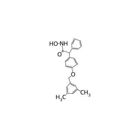 Cc1cc(C)cc(COc2ccc(C(C(=O)NO)c3ccccc3)cc2)c1